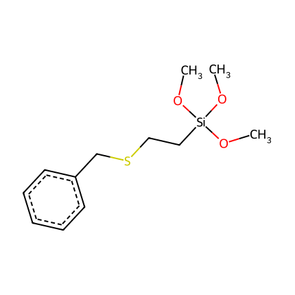 CO[Si](CCSCc1ccccc1)(OC)OC